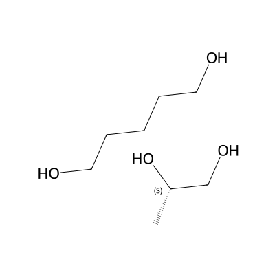 C[C@H](O)CO.OCCCCCO